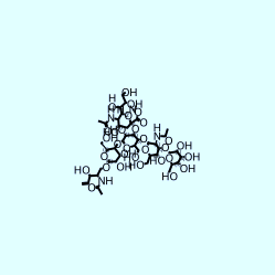 C=CC(O)C(CO[C@@H]1O[C@@H](CO)C(OC2OC(CO)[C@H](OC3OC(CO)[C@H](O)[C@H](OC4OC(CO)[C@H](O)[C@H](O)[C@@H]4O)[C@@H]3NC(C)=O)[C@H](O[C@]3(C(=O)ON)C[C@@H](O)C(NC(C)=O)C(C(O)C(O)CO)O3)[C@@H]2O)C(O)C1O)NC(C)=O